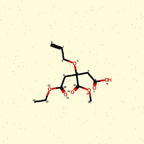 C=CCOC(CC(=O)O)(CC(=O)OCC)C(=O)OC